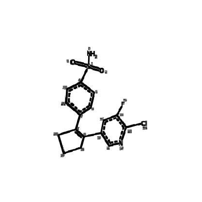 NS(=O)(=O)c1ccc(C2=C(c3cnc(Cl)c(F)c3)CCC2)cc1